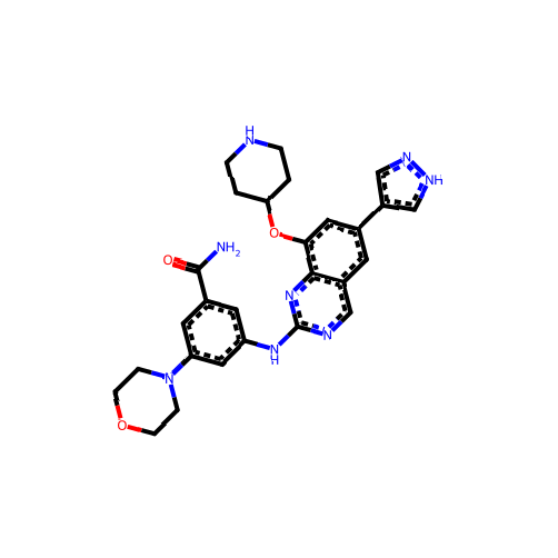 NC(=O)c1cc(Nc2ncc3cc(-c4cn[nH]c4)cc(OC4CCNCC4)c3n2)cc(N2CCOCC2)c1